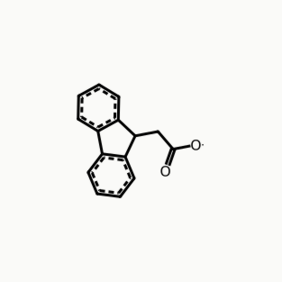 [O]C(=O)CC1c2ccccc2-c2ccccc21